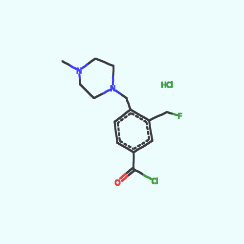 CN1CCN(Cc2ccc(C(=O)Cl)cc2CF)CC1.Cl